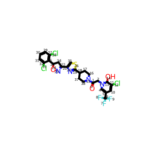 O=C(CN1C=C(C(F)(F)F)C=C(Cl)C1O)N1CCC(c2nc(C3=NOC(c4c(Cl)cccc4Cl)C3)cs2)CC1